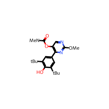 CNC(=O)Oc1cnc(OC)nc1-c1cc(C(C)(C)C)c(O)c(C(C)(C)C)c1